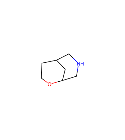 C1CC2CNCC(C2)O1